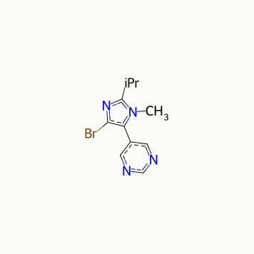 CC(C)c1nc(Br)c(-c2cncnc2)n1C